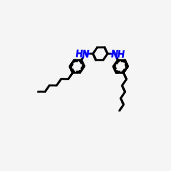 CCCCCCc1ccc(NC2CCC(Nc3ccc(CCCCCC)cc3)CC2)cc1